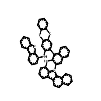 B1c2c(cc3ccccc3c2-c2cc3c(cc2Nc2cccc4c2sc2ccccc24)Sc2ccccc2S3)-n2c3c1cccc3c1ccc3ccccc3c12